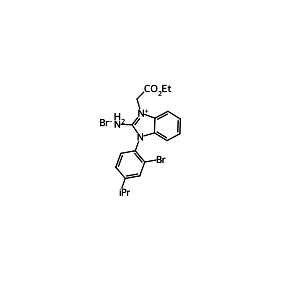 CCOC(=O)C[n+]1c(N)n(-c2ccc(C(C)C)cc2Br)c2ccccc21.[Br-]